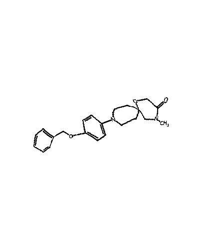 CN1CC2(CCN(c3ccc(OCc4ccccc4)cc3)CC2)OCC1=O